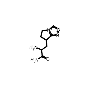 NC(=O)C(N)CC1CCn2cnnc21